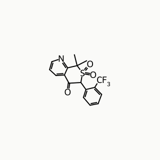 CC1(C)c2ncccc2C(=O)C(c2ccccc2C(F)(F)F)S1(=O)=O